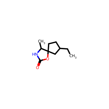 CCC1CCC2(C1)OC(=O)NC2C